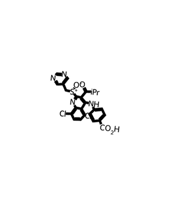 CC(C)C(=O)c1c([S+]([O-])Cc2cncnc2)nc2c(Cl)ccc(Cl)c2c1Nc1ccc(C(=O)O)cc1